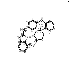 O=C(O)N1CCC(C(=O)O)(c2nccnc2Oc2ccc(Nc3nc4ccccc4s3)cc2)CC1